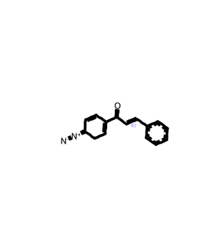 [N-]=[N+]=C1C=CC(C(=O)/C=C/c2ccccc2)=CC1